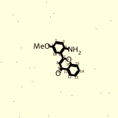 COc1ccc(N)c(-c2cc(=O)c3ccccc3o2)c1